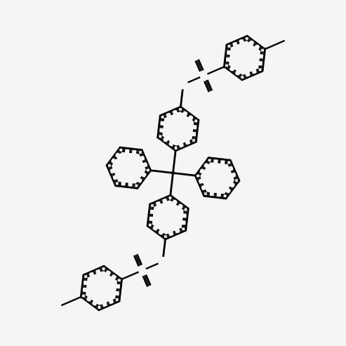 Cc1ccc(S(=O)(=O)Oc2ccc(C(c3ccccc3)(c3ccccc3)c3ccc(OS(=O)(=O)c4ccc(C)cc4)cc3)cc2)cc1